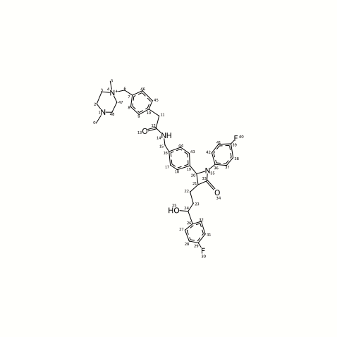 CN1CC[N+](C)(Cc2ccc(CC(=O)NCc3ccc(C4C(CCC(O)c5ccc(F)cc5)C(=O)N4c4ccc(F)cc4)cc3)cc2)CC1